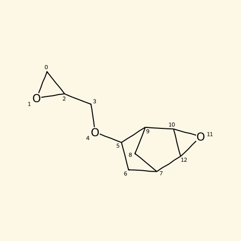 C1OC1COC1CC2CC1C1OC21